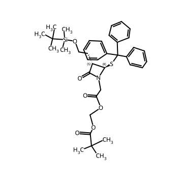 CC(C)(C)C(=O)OCOC(=O)CN1C(=O)[C@H](CCO[Si](C)(C)C(C)(C)C)[C@H]1SC(c1ccccc1)(c1ccccc1)c1ccccc1